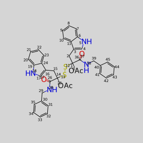 CC(=O)OC(Cc1c[nH]c2ccccc12)(SSC(Cc1c[nH]c2ccccc12)(OC(C)=O)C(=O)NCc1ccccc1)C(=O)NCc1ccccc1